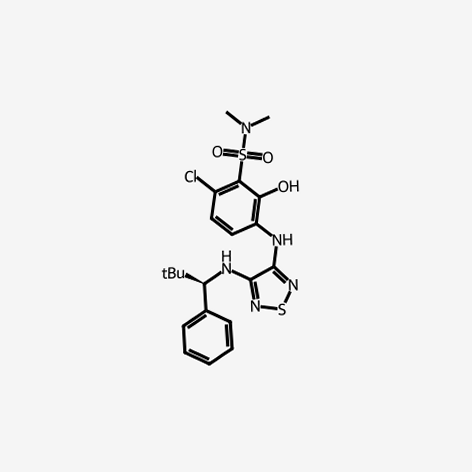 CN(C)S(=O)(=O)c1c(Cl)ccc(Nc2nsnc2N[C@@H](c2ccccc2)C(C)(C)C)c1O